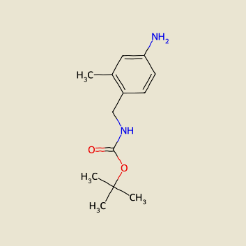 Cc1cc(N)ccc1CNC(=O)OC(C)(C)C